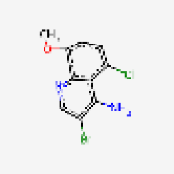 COc1ccc(Cl)c2c(N)c(Br)cnc12